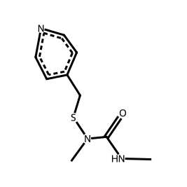 CNC(=O)N(C)SCc1ccncc1